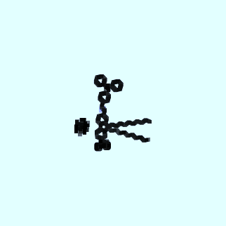 CCCCCCCCCCC1(CCCCCCCCCC)c2cc(/C=C/c3ccc([S+](c4ccccc4)c4ccccc4)cc3)ccc2-c2ccc([N+](=O)[O-])cc21.F[P-](F)(F)(F)(F)F